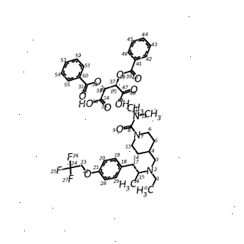 CCN(CC1CCN(C(=O)N(C)C)CC1)C(C)Cc1ccc(OCC(F)(F)F)cc1.O=C(O[C@@H](C(=O)O)[C@@H](OC(=O)c1ccccc1)C(=O)O)c1ccccc1